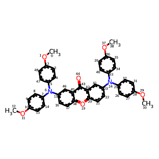 COc1ccc(N(c2ccc(OC)cc2)c2ccc3oc4ccc(N(c5ccc(OC)cc5)c5ccc(OC)cc5)cc4c(=O)c3c2)cc1